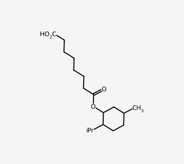 CC1CCC(C(C)C)C(OC(=O)CCCCCCC(=O)O)C1